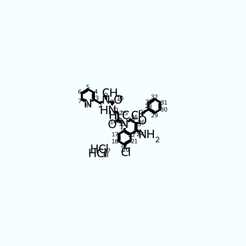 CN(Cc1ccccn1)C(=O)NCC(=O)N1c2ccc(Cl)cc2C(N)=C(OCc2ccccc2)C1(C)Cl.Cl.Cl